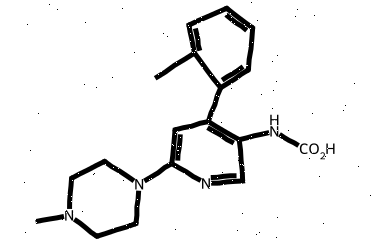 Cc1ccccc1-c1cc(N2CCN(C)CC2)ncc1NC(=O)O